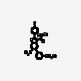 CCNC(=O)c1c(-c2ccc(F)cc2)oc2cc([N+](=O)[O-])c(-c3cccc(C(=O)OCC)c3)cc12